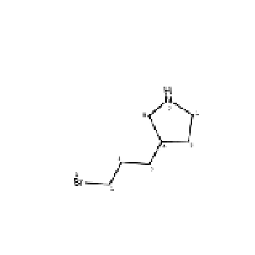 BrCCCC1CCNC1